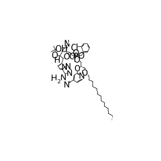 CCCCCCCCCCCCCCOC[C@H](COP(=O)(OC[C@@]1(C#N)OC(c2ccc3c(N)ncnn23)[C@@H]2OC(C)(C)O[C@@H]21)Oc1ccccc1Cl)Oc1cc(C#N)ccn1